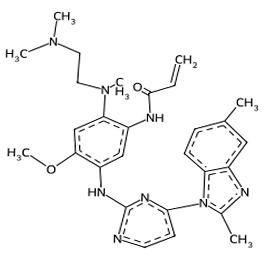 C=CC(=O)Nc1cc(Nc2nccc(-n3c(C)nc4cc(C)ccc43)n2)c(OC)cc1N(C)CCN(C)C